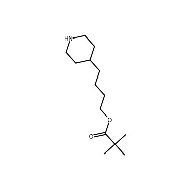 CC(C)(C)C(=O)OCCCCC1CCNCC1